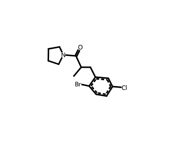 CC(Cc1cc(Cl)ccc1Br)C(=O)N1CCCC1